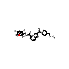 CC1(C)[C@H]2CC[C@@H](CNC(=O)c3cccc4nc(C(=O)N5CCC(CN)CC5)cn34)[C@H]1C2